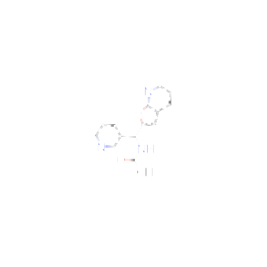 CC(=O)NC(c1cccnc1)c1cc2cccnc2o1